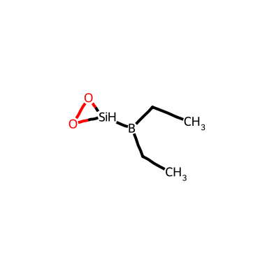 CCB(CC)[SiH]1OO1